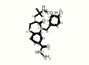 CC(C)(C[C@H]1CSc2ccc(C(=O)NN)cc2N(Cc2ccc(Cl)cc2)C1=O)NC(=O)O